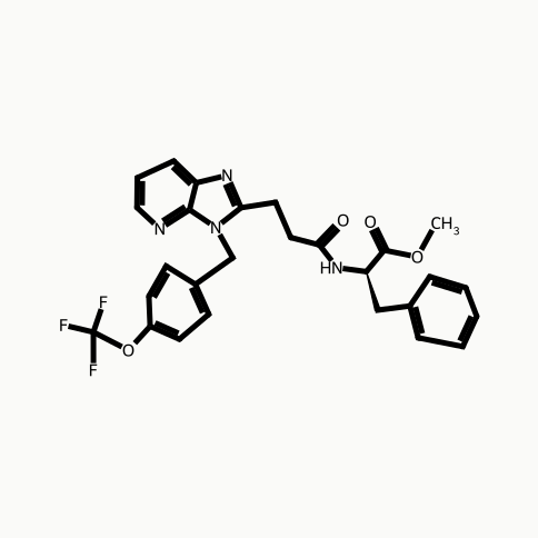 COC(=O)[C@@H](Cc1ccccc1)NC(=O)CCc1nc2cccnc2n1Cc1ccc(OC(F)(F)F)cc1